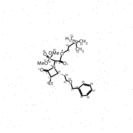 CC[C@H]1C(=O)N(C(C(=O)OCC[Si](C)(C)C)P(=O)(OC)OC)[C@@H]1CCOCc1ccccc1